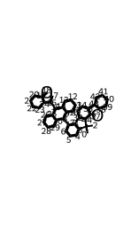 CC1(C)c2cccc(-c3c4ccccc4c(-c4coc5ccccc45)c4ccccc34)c2-c2ccc3c(oc4ccccc43)c21